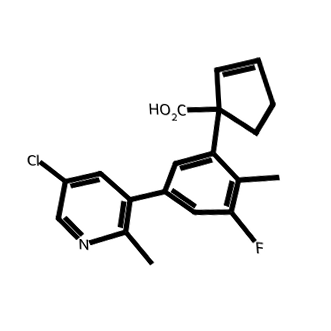 Cc1ncc(Cl)cc1-c1cc(F)c(C)c(C2(C(=O)O)C=CCC2)c1